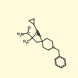 CC(C)(CC1(C#CC2CC2)CCN(Cc2ccccc2)CC1)[S+](N)[O-]